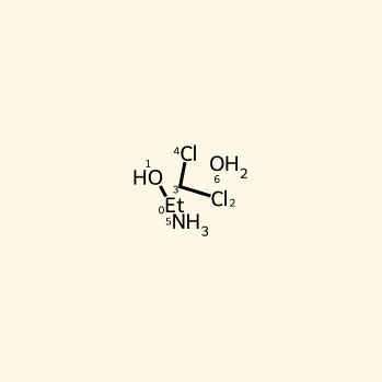 CCO.ClCCl.N.O